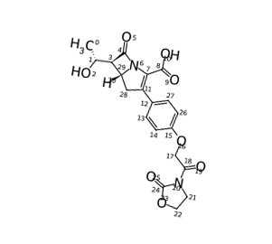 C[C@@H](O)[C@H]1C(=O)N2C(C(=O)O)=C(c3ccc(OCC(=O)N4CCOC4=O)cc3)C[C@H]12